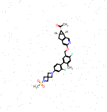 CC(=O)[C@H]1[C@@H]2Cc3cc(OCc4cc(-c5ccc(N6CC7(C6)CN(S(C)(=O)=O)C7)cc5F)c(C)cc4F)ncc3[C@@H]21